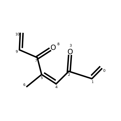 C=CC(=O)/C=C(/C)C(=O)C=C